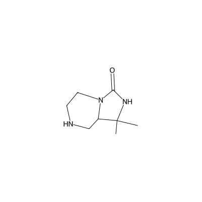 CC1(C)NC(=O)N2CCNCC21